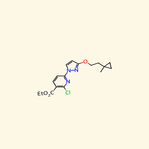 CCOC(=O)c1ccc(-n2ccc(OCCC3(C)CC3)n2)nc1Cl